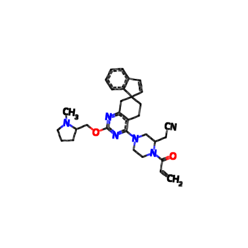 C=CC(=O)N1CCN(c2nc(OCC3CCCN3C)nc3c2CCC2(C=Cc4ccccc42)C3)CC1CC#N